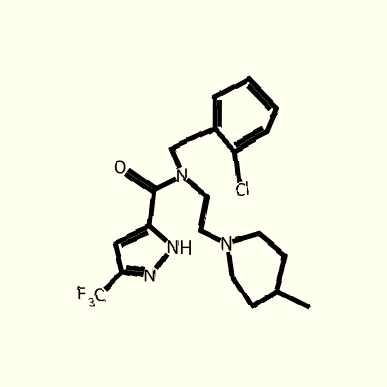 CC1CCN(CCN(Cc2ccccc2Cl)C(=O)c2cc(C(F)(F)F)n[nH]2)CC1